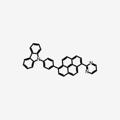 c1cnc(-c2ccc3ccc4c(-c5ccc(-n6c7ccccc7c7ccccc76)cc5)ccc5ccc2c3c54)nc1